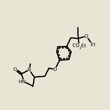 CCOC(=O)C(C)(Cc1ccc(OCCC2CNC(=O)N2C)cc1)OCC